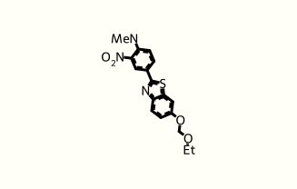 CCOCOc1ccc2nc(-c3ccc(NC)c([N+](=O)[O-])c3)sc2c1